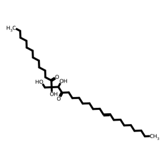 CCCCCCCCC=CCCCCCCCC(=O)C(O)C(O)(CO)C(=O)CCCCCCCCCCC